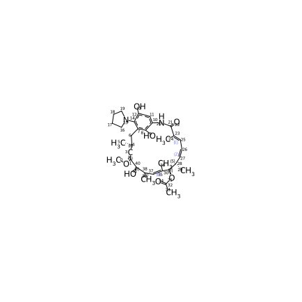 CO[C@H]1C[C@H](C)Cc2c(O)c(cc(O)c2N2CCCC2)NC(=O)/C(C)=C/C=C\[C@H](C)[C@@H](OC(C)=O)/C(C)=C/[C@H](C)[C@H]1O